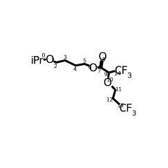 CC(C)OCCCCOC(=O)C(OCCC(F)(F)F)C(F)(F)F